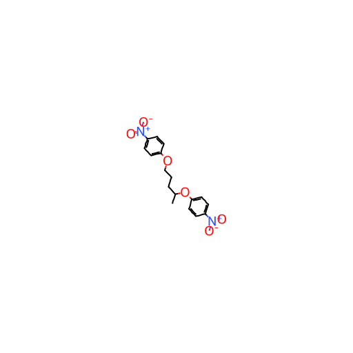 CC(CCCOc1ccc([N+](=O)[O-])cc1)Oc1ccc([N+](=O)[O-])cc1